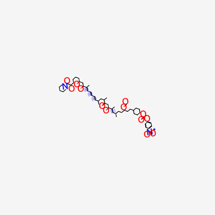 COC(CC(=O)C(C)CC(C)/C=C/C=C/C=C(\C)C(CC1CCCC(C(=O)C(=O)N2CCCCC2)O1)OC)/C(C)=C/C(C)CCC(CCC1CCC(OC(=O)Oc2ccc([N+](=O)[O-])cc2)CC1)OC=O